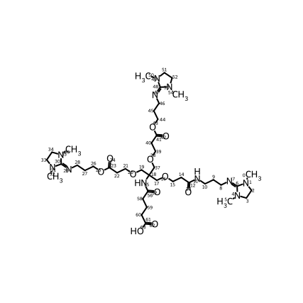 CN1CCN(C)C1=NCCCNC(=O)CCOCC(COCCC(=O)OCCCN=C1N(C)CCN1C)(COCCC(=O)OCCCN=C1N(C)CCN1C)NC(=O)CCCC(=O)O